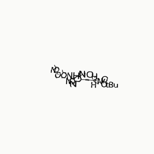 Cc1ccc(Oc2ccc(Nc3ncnc4cc(C#CC5[C@H]6CN(C(=O)OC(C)(C)C)C[C@@H]56)c([N+](=O)[O-])cc34)cc2C)cn1